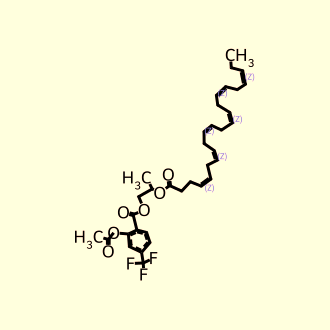 CC/C=C\C/C=C\C/C=C\C/C=C\C/C=C\C/C=C\CCC(=O)OC(C)COC(=O)c1ccc(C(F)(F)F)cc1OC(C)=O